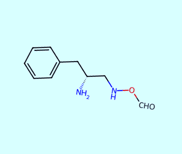 N[C@@H](CNOC=O)Cc1ccccc1